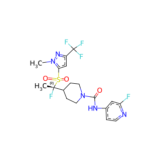 Cn1nc(C(F)(F)F)cc1S(=O)(=O)[C@@](C)(F)C1CCN(C(=O)Nc2ccnc(F)c2)CC1